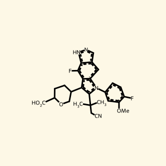 COc1cc(-n2c(C(C)(C)CC#N)c(C3CCC(C(=O)O)OC3)c3c(F)c4[nH]ncc4cc32)ccc1F